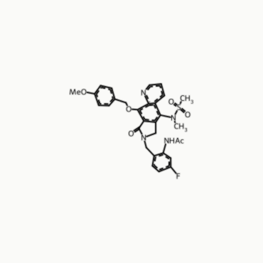 COc1ccc(COc2c3c(c(N(C)S(C)(=O)=O)c4cccnc24)CN(Cc2ccc(F)cc2NC(C)=O)C3=O)cc1